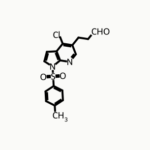 Cc1ccc(S(=O)(=O)n2ccc3c(Cl)c(CCC=O)cnc32)cc1